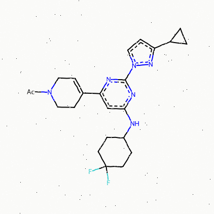 CC(=O)N1CC=C(c2cc(NC3CCC(F)(F)CC3)nc(-n3ccc(C4CC4)n3)n2)CC1